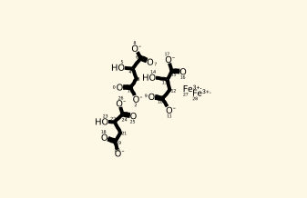 O=C([O-])CC(O)C(=O)[O-].O=C([O-])CC(O)C(=O)[O-].O=C([O-])CC(O)C(=O)[O-].[Fe+3].[Fe+3]